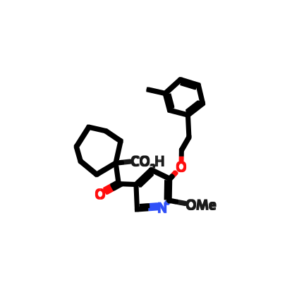 COc1ncc(C(=O)C2(C(=O)O)CCCCCC2)cc1OCCc1cccc(C)c1